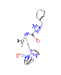 CC(CCn1ccnc1N(C)C=O)NC(=O)c1ncn(Cc2ccccc2)n1